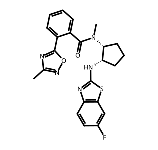 Cc1noc(-c2ccccc2C(=O)N(C)[C@@H]2CCC[C@@H]2Nc2nc3ccc(F)cc3s2)n1